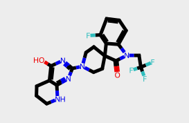 O=C1N(CC(F)(F)F)c2cccc(F)c2C12CCN(c1nc(O)c3c(n1)NCCC3)CC2